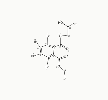 CCOC(=O)c1c(Br)c(Br)c(Br)c(Br)c1C(=O)OCC(C)O